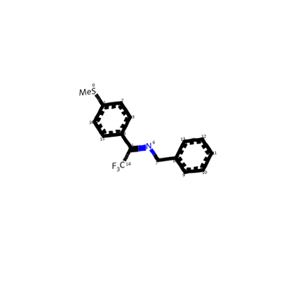 CSc1ccc(/C(=N/Cc2ccccc2)C(F)(F)F)cc1